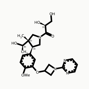 COc1ccc([C@@H]2CN(C(=O)[C@@H](O)CO)C[C@@]2(C)[C@@H](C)O)cc1OC1CN(c2ncccn2)C1